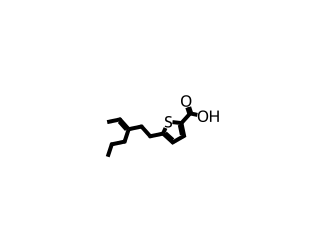 C/C=C(\CCC)CCc1ccc(C(=O)O)s1